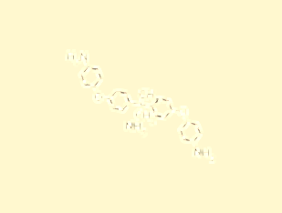 CC(C)(c1ccc(Oc2ccc(N)cc2)cc1)c1ccc(Oc2ccc(N)cc2)cc1.N